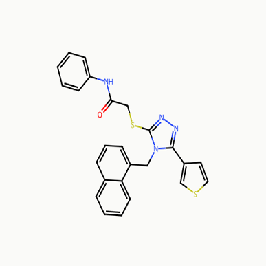 O=C(CSc1nnc(-c2ccsc2)n1Cc1cccc2ccccc12)Nc1ccccc1